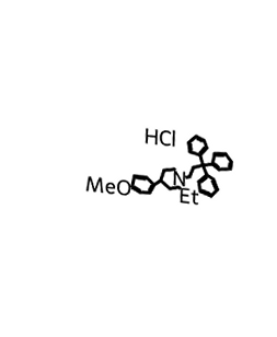 CCC1CC(c2ccc(OC)cc2)CCN1CCC(c1ccccc1)(c1ccccc1)c1ccccc1.Cl